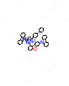 C=C(/N=C(\N=C(/C)c1ccc(-c2ccccc2)cc1)c1cccc2oc3cc(-n4c5ccccc5c5ccccc54)ccc3c12)n1c2ccccc2c2ccccc21